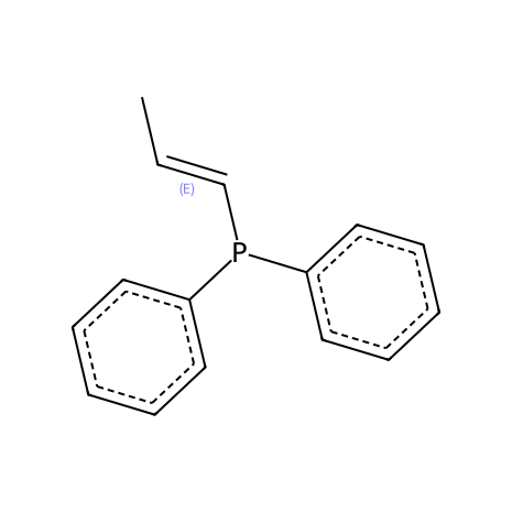 C/C=C/P(c1ccccc1)c1ccccc1